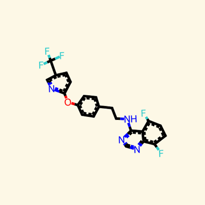 Fc1ccc(F)c2c(NCCc3ccc(Oc4ccc(C(F)(F)F)cn4)cc3)ncnc12